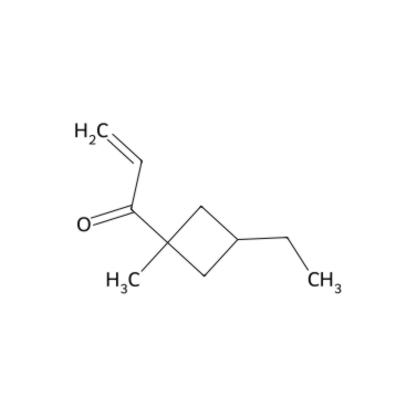 C=CC(=O)C1(C)CC(CC)C1